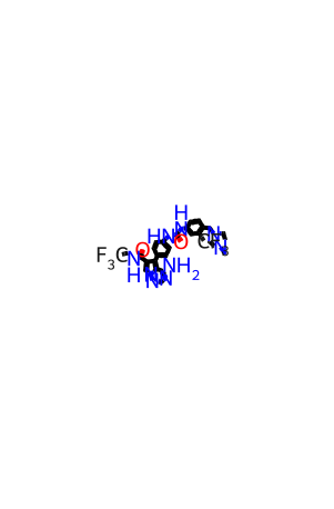 CN1CCN(Cc2ccc(NC(=O)Nc3ccc(-c4c(C(=O)NCC(F)(F)F)cn5ncnc(N)c45)cc3)cc2C(F)(F)F)CC1